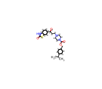 CC(C)c1ccc(COC(=O)N2CCN(CCC(=O)c3ccc4[nH]c(=O)sc4c3)CC2)cc1